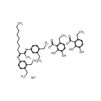 CCCCCCCCC(=Nc1ccc(CC)c(CC)c1)C(C)=Nc1ccc(CC)c(CC)c1.CCc1ccc(O)c(O)c1C(=O)[O-].CCc1ccc(O)c(O)c1C(=O)[O-].[Ni+2]